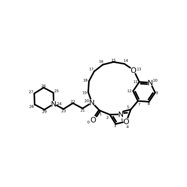 O=C1c2coc(n2)-c2ccnc(c2)OCCCCCCN1CCCN1CCCCC1